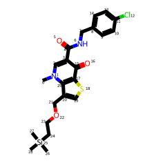 Cn1cc(C(=O)NCc2ccc(Cl)cc2)c(=O)c2scc(COCC[Si](C)(C)C)c21